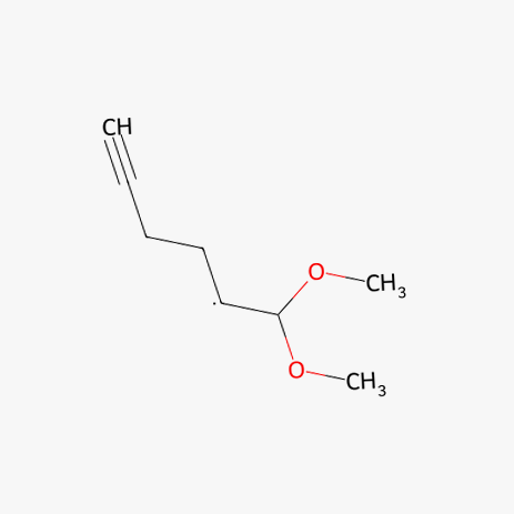 C#CCC[CH]C(OC)OC